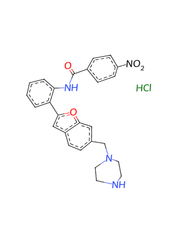 Cl.O=C(Nc1ccccc1-c1cc2ccc(CN3CCNCC3)cc2o1)c1ccc([N+](=O)[O-])cc1